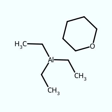 C1CCOCC1.C[CH2][Al]([CH2]C)[CH2]C